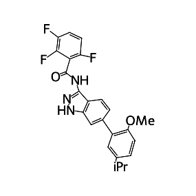 COc1ccc(C(C)C)cc1-c1ccc2c(NC(=O)c3c(F)ccc(F)c3F)n[nH]c2c1